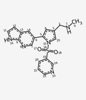 CNCc1cc(-c2cnc3[nH]ccc3c2)n(S(=O)(=O)c2cccnc2)c1